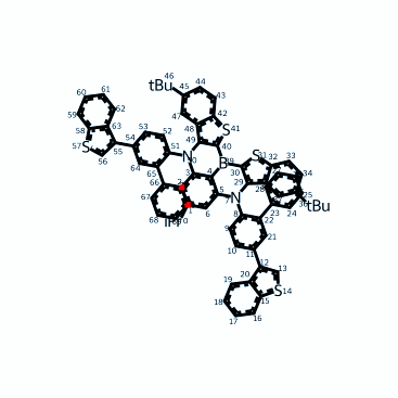 CC(C)c1cc2c3c(c1)N(c1ccc(-c4csc5ccccc45)cc1-c1ccccc1)c1c(sc4ccc(C(C)(C)C)cc14)B3c1sc3ccc(C(C)(C)C)cc3c1N2c1ccc(-c2csc3ccccc23)cc1-c1ccccc1